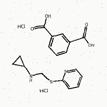 Cl.Cl.O=C(O)c1cccc(C(=O)O)c1.c1ccc(SCNC2CC2)nc1